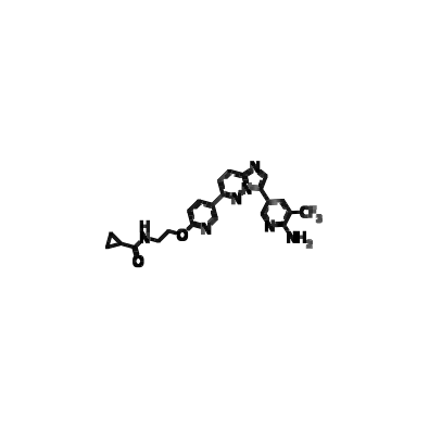 Nc1ncc(-c2cnc3ccc(-c4ccc(OCCNC(=O)C5CC5)nc4)nn23)cc1C(F)(F)F